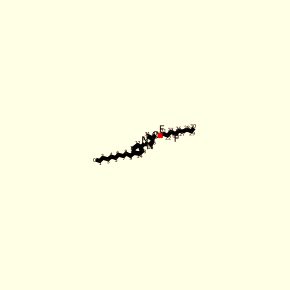 CCCCCCCCCCc1ccc(-c2ncc(OCC(F)CCC(F)CCCCC)cn2)cc1